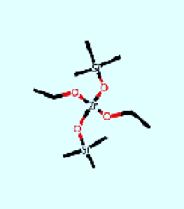 CC[O][Zr]([O]CC)([O][Si](C)(C)C)[O][Si](C)(C)C